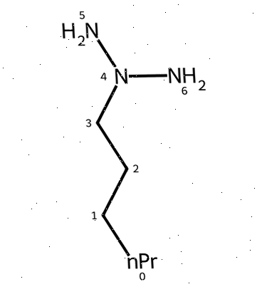 CCCCCCN(N)N